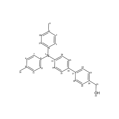 Cc1ccc(N(c2ccc(C)cc2)c2ccc(-c3ccc(CO)cc3)cc2)cc1